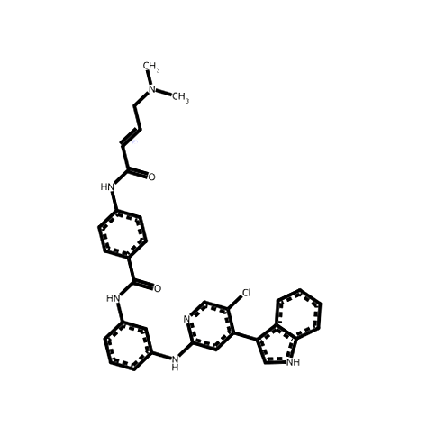 CN(C)C/C=C/C(=O)Nc1ccc(C(=O)Nc2cccc(Nc3cc(-c4c[nH]c5ccccc45)c(Cl)cn3)c2)cc1